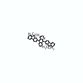 CC1(C)c2ccccc2-c2ccc(-c3c4ccccc4c(-c4ccc5c(c4)C(C)(C)c4ccccc4-5)c4ncccc34)cc21